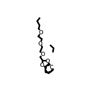 CCC.CCCCOCCOCCOCC1Oc2ccccc2O1